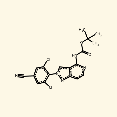 CC(C)(C)OC(=O)Nc1nccc2nn(-c3c(Cl)cc(C#N)cc3Cl)cc12